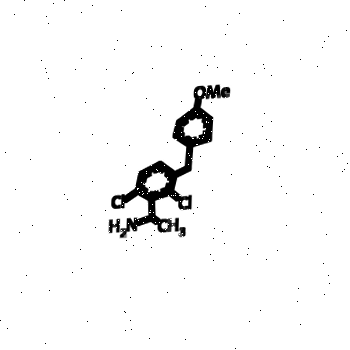 COc1ccc(Cc2ccc(Cl)c(C(C)N)c2Cl)cc1